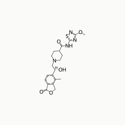 COc1nsc(NC(=O)C2CCN(C[C@H](O)c3ccc4c(c3C)COC4=O)CC2)n1